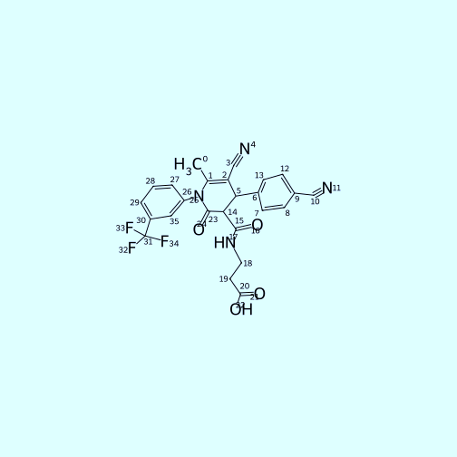 CC1=C(C#N)C(c2ccc(C#N)cc2)C(C(=O)NCCC(=O)O)C(=O)N1c1cccc(C(F)(F)F)c1